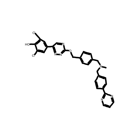 CN(Cc1ccc(COc2ncc(-c3cc(Cl)c(O)c(Cl)c3)nn2)cc1)Cc1ccc(-c2ncccn2)cc1